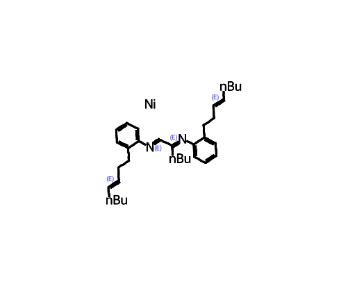 CCCC/C=C/CCc1ccccc1/N=C/C(CCCC)=N/c1ccccc1CC/C=C/CCCC.[Ni]